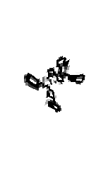 c1ccc(-c2cc(-c3ccc4c(c3)sc3ccccc34)nc(-c3cccc4c3oc3ccc5c(-c6ccccc6)nc6ccccc6c5c34)n2)cc1